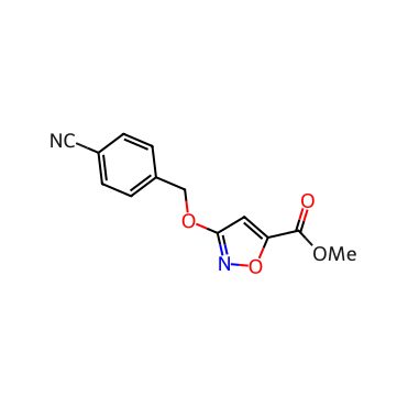 COC(=O)c1cc(OCc2ccc(C#N)cc2)no1